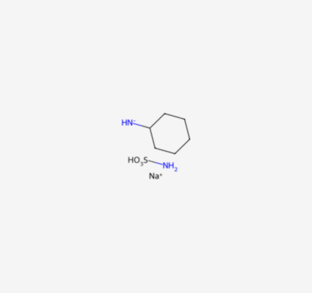 NS(=O)(=O)O.[NH-]C1CCCCC1.[Na+]